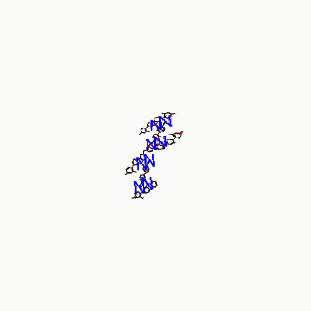 Cc1ccc(-c2ccc3c4ccccc4n(-c4cc(-c5ccc(C#N)c(-n6c7ccc(Cc8ccc(-c9ccc%10c%11ccc(-c%12ccc(C)cc%12C)cc%11n(-c%11cc(-c%12ccc(C#N)c(-n%13c%14cc(-c%15ccc(C)cc%15C)ccc%14c%14ccc(-c%15ccc(C)cc%15C)cc%14%13)c%12)ccc%11C#N)c%10c9)c(C)c8)cc7c7ccc(-c8ccc(C)cc8C)cc76)c5)ccc4C#N)c3c2)c(C)c1